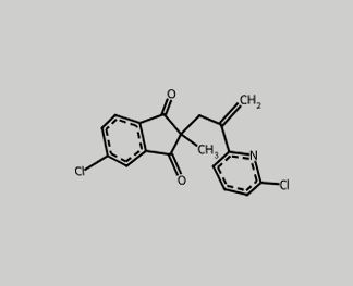 C=C(CC1(C)C(=O)c2ccc(Cl)cc2C1=O)c1cccc(Cl)n1